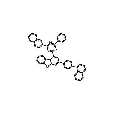 C1=C(c2ccc(-c3cccc4ccccc34)cc2)C=C(c2nc(-c3ccccc3)nc(-c3ccc4ccccc4c3)n2)C2c3ccccc3OC12